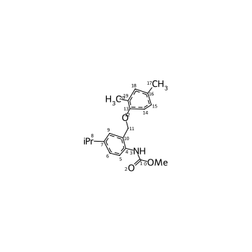 COC(=O)Nc1ccc(C(C)C)cc1COc1ccc(C)cc1C